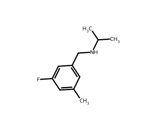 Cc1cc(F)cc(CNC(C)C)c1